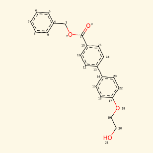 O=C(OCc1ccccc1)c1ccc(-c2ccc(OCCO)cc2)cc1